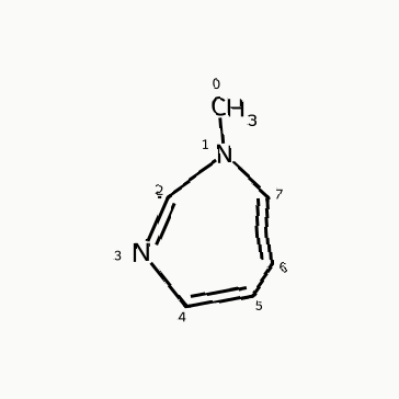 CN1[C]=NC=CC=C1